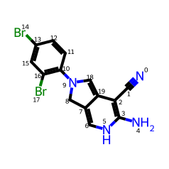 N#CC1=C(N)NC=C2CN(c3ccc(Br)cc3Br)C=C21